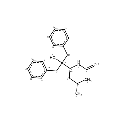 CC(C)C[C@H](N[C]=O)C(O)(Cc1ccccc1)Cc1ccccc1